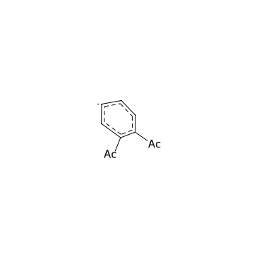 CC(=O)c1c[c]ccc1C(C)=O